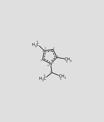 Cc1cn(C)c[n+]1C(C)C